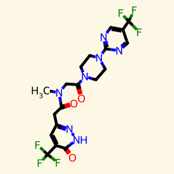 CN(CC(=O)N1CCN(c2ncc(C(F)(F)F)cn2)CC1)C(=O)Cc1cc(C(F)(F)F)c(=O)[nH]n1